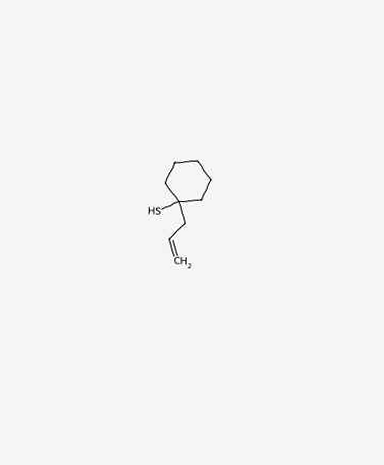 C=CCC1(S)CCCCC1